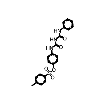 Cc1ccc(S(=O)(=O)Oc2ccc(NC(=O)NC(=O)Nc3ccccc3)cc2)cc1